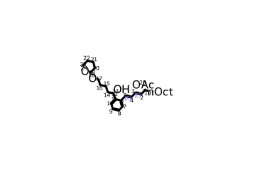 CCCCCCCCC(/C=C/C=C/c1ccccc1C(O)CCCCOC1CCCCO1)OC(C)=O